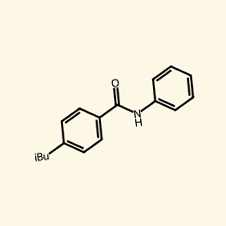 CCC(C)c1ccc(C(=O)Nc2ccccc2)cc1